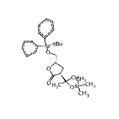 CC(C)(O[Si](C)(C)C)[C@@H]1C[C@@H](CO[Si](c2ccccc2)(c2ccccc2)C(C)(C)C)OC1=O